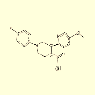 COc1ccc([C@@H]2CN(c3ccc(F)cc3)CC[C@H]2C(=O)O)nc1